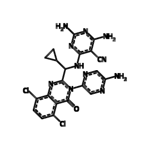 N#Cc1c(N)nc(N)nc1NC(c1nc2c(Cl)ccc(Cl)c2c(=O)n1-c1cnc(N)cn1)C1CC1